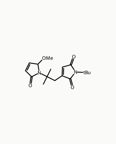 COC1C=CC(=O)N1C(C)(C)CC1=CC(=O)N(C(C)(C)C)C1=O